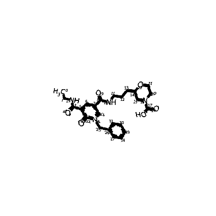 CCNC(=O)c1cc(C(=O)NCCCC2CN(C(=O)O)CCO2)cn(Cc2ccccc2)c1=O